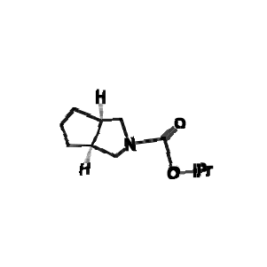 CC(C)OC(=O)N1C[C@H]2CCC[C@H]2C1